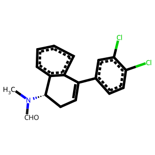 CN(C=O)[C@H]1CC=C(c2ccc(Cl)c(Cl)c2)c2ccccc21